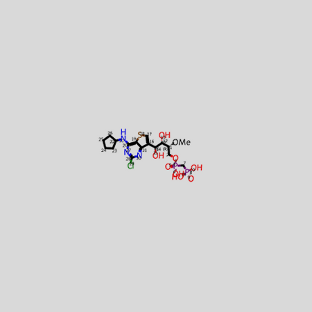 CO[C@H](COP(=O)(O)CP(=O)(O)O)[C@@H](O)[C@@H](O)c1csc2c(NC3CCCC3)nc(Cl)nc12